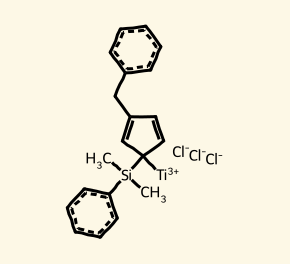 C[Si](C)(c1ccccc1)[C]1([Ti+3])C=CC(Cc2ccccc2)=C1.[Cl-].[Cl-].[Cl-]